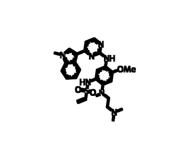 C=CS(=O)(=O)Nc1cc(Nc2nccc(-c3cn(C)c4ccccc34)n2)c(OC)cc1N(C)CCN(C)C